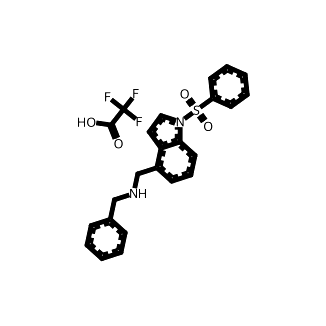 O=C(O)C(F)(F)F.O=S(=O)(c1ccccc1)n1ccc2c(CNCc3ccccc3)cccc21